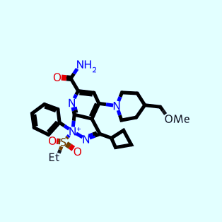 CCS(=O)(=O)[N+]1(c2ccccc2)N=C(C2CCC2)c2c(N3CCC(COC)CC3)cc(C(N)=O)nc21